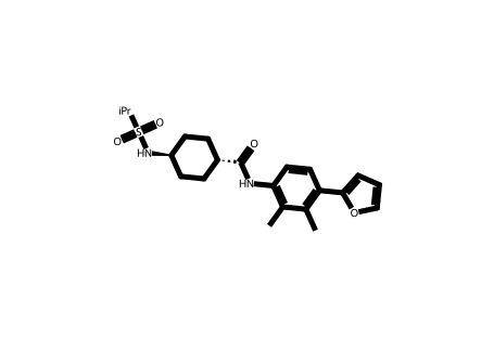 Cc1c(NC(=O)[C@H]2CC[C@H](NS(=O)(=O)C(C)C)CC2)ccc(-c2ccco2)c1C